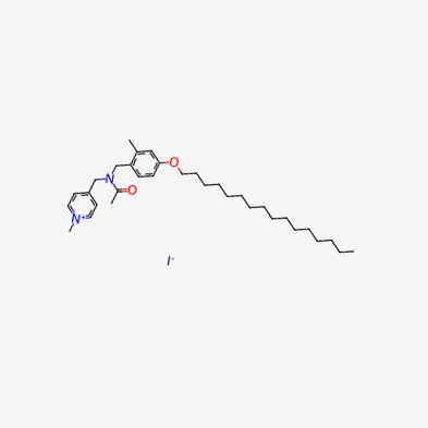 CCCCCCCCCCCCCCCCOc1ccc(CN(Cc2cc[n+](C)cc2)C(C)=O)c(C)c1.[I-]